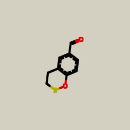 O=Cc1ccc2c(c1)CCSO2